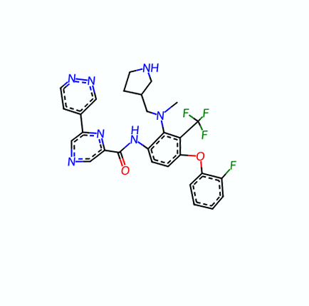 CN(CC1CCNC1)c1c(NC(=O)c2cncc(-c3ccnnc3)n2)ccc(Oc2ccccc2F)c1C(F)(F)F